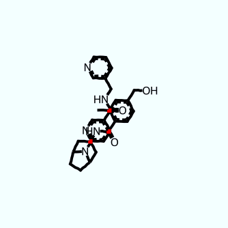 Cc1cc(CO)ccc1C(=O)NC1CC2CCC(C1)N2c1ccc(C(=O)NCc2cccnc2)cn1